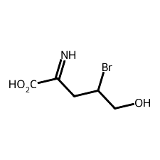 N=C(CC(Br)CO)C(=O)O